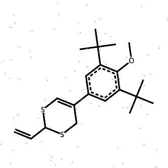 C=CC1SC=C(c2cc(C(C)(C)C)c(OC)c(C(C)(C)C)c2)CS1